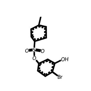 Cc1ccc(S(=O)(=O)Oc2ccc(Br)c(O)c2)cc1